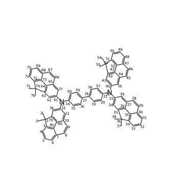 CC1(C)c2cccc3ccc4cc(N(c5ccc(-c6ccc(N(c7cc8c9c(ccc%10cccc(c%109)C8(C)C)c7)c7cc8c9c(ccc%10cccc(c%109)C8(C)C)c7)cc6)cc5)c5cc6c7c(ccc8cccc(c87)C6(C)C)c5)cc1c4c23